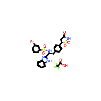 O=C(O)C(F)(F)F.O=C1CC(c2ccc(C[C@H](NS(=O)(=O)c3cccc(Br)c3)c3nc4ccccc4[nH]3)cc2)S(=O)(=O)N1